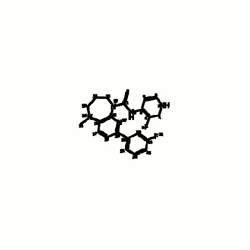 C=C(NC1=C(F)CNC=C1)N1CCCN(C)c2ccc(-c3cccc(F)c3)nc21